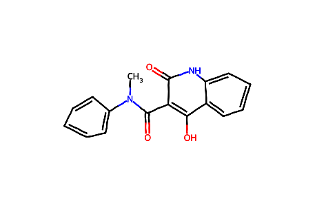 CN(C(=O)c1c(O)c2ccccc2[nH]c1=O)c1ccccc1